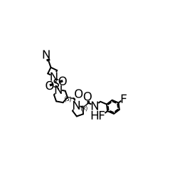 N#CC1CN(S(=O)(=O)N2CCC[C@H](C(=O)N3CCC[C@@H]3C(=O)NCc3cc(F)ccc3F)C2)C1